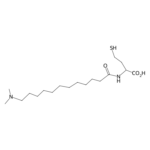 CN(C)CCCCCCCCCCCC(=O)NC(CCS)C(=O)O